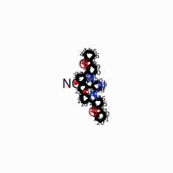 N#Cc1cccc(-c2c(-n3c4ccccc4c4c5oc6ccccc6c5ccc43)cncc2-n2c3ccccc3c3c4oc5ccccc5c4ccc32)c1